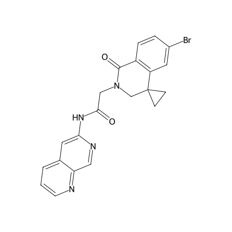 O=C(CN1CC2(CC2)c2cc(Br)ccc2C1=O)Nc1cc2cccnc2cn1